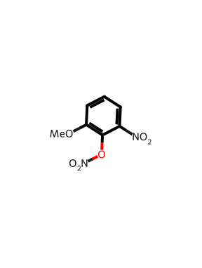 COc1cccc([N+](=O)[O-])c1O[N+](=O)[O-]